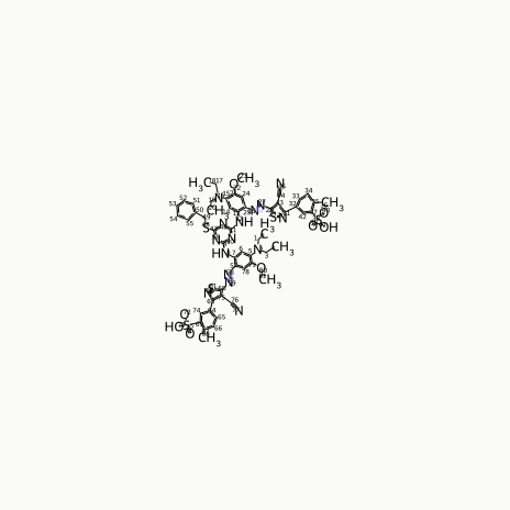 CCN(CC)c1cc(Nc2nc(Nc3cc(N(CC)CC)c(OC)cc3/N=N/c3snc(-c4ccc(C)c(S(=O)(=O)O)c4)c3C#N)nc(SCc3ccccc3)n2)c(/N=N/c2snc(-c3ccc(C)c(S(=O)(=O)O)c3)c2C#N)cc1OC